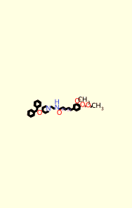 CCOCOc1ccc(/C=C/C=C/C(=O)NCCN2CCC(OC(c3ccccc3)c3ccccc3)CC2)cc1OC